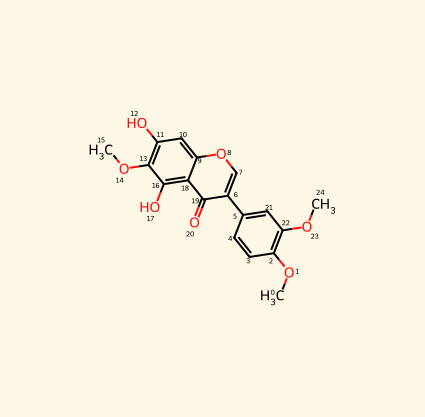 COc1ccc(-c2coc3cc(O)c(OC)c(O)c3c2=O)cc1OC